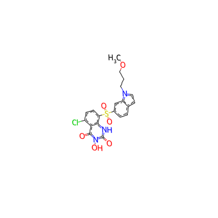 COCCCn1ccc2ccc(S(=O)(=O)c3ccc(Cl)c4c(=O)n(O)c(=O)[nH]c34)cc21